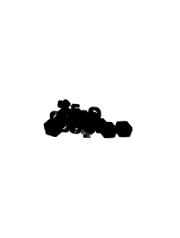 COC(=O)N(Cc1cc(C(CO)N(CCC(C)C)S(=O)(=O)c2ccccc2)cs1)C(=O)[C@@H](N)Cc1cccc(-c2ccccc2)c1